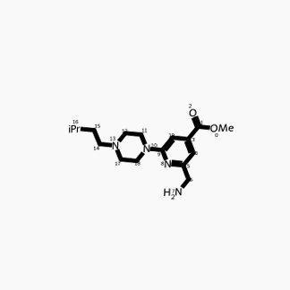 COC(=O)c1cc(CN)nc(N2CCN(CCC(C)C)CC2)c1